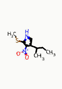 CCC(C)c1c[nH]c(SC)c1[N+](=O)[O-]